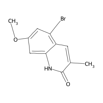 COc1cc(Br)c2cc(C)c(=O)[nH]c2c1